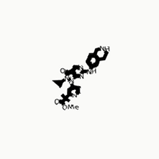 COC(=O)C(C)(C)c1cc(-n2c3nc(Nc4ccc5c(c4)CCNC5)ncc3c(=O)n2C2CC2)ccn1